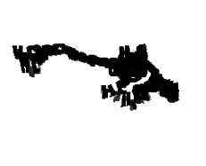 CCCCOc1nc(NC(=O)CCCCCCCCCOCCOCCN(CC)CC)c2[nH]c(=O)n(CCCN(CCCN3CCOCC3)Cc3cccc(C(=O)OC)c3)c2n1